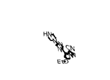 CCOc1cc(-c2cnc(N3CCNCC3)cn2)c2c(C#N)cnn2c1